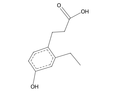 CCc1cc(O)ccc1CCC(=O)O